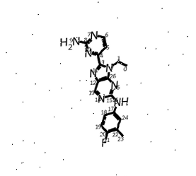 CCn1c(-c2ccnc(N)n2)nc2cnc(Nc3ccc(F)c(C)c3)nc21